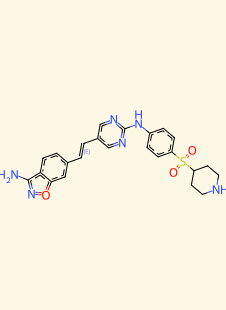 Nc1noc2cc(/C=C/c3cnc(Nc4ccc(S(=O)(=O)C5CCNCC5)cc4)nc3)ccc12